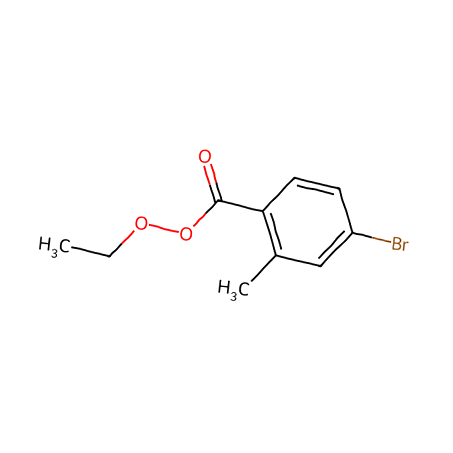 CCOOC(=O)c1ccc(Br)cc1C